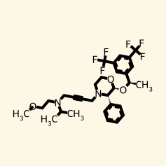 COCCN(CC#CCN1CCO[C@H](O[C@H](C)c2cc(C(F)(F)F)cc(C(F)(F)F)c2)[C@@H]1c1ccccc1)C(C)C